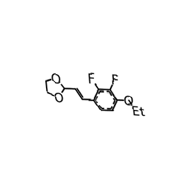 CCOc1ccc(C=CC2OCCO2)c(F)c1F